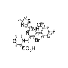 O=C(O)[C@@H]1COCCN1CC1=C(Br)C(c2ccc(F)cc2Cl)NC(c2nccs2)=N1